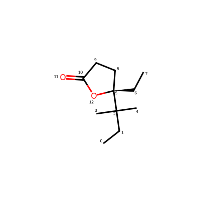 CCC(C)(C)[C@@]1(CC)CCC(=O)O1